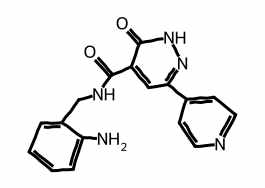 Nc1ccccc1CNC(=O)c1cc(-c2ccncc2)n[nH]c1=O